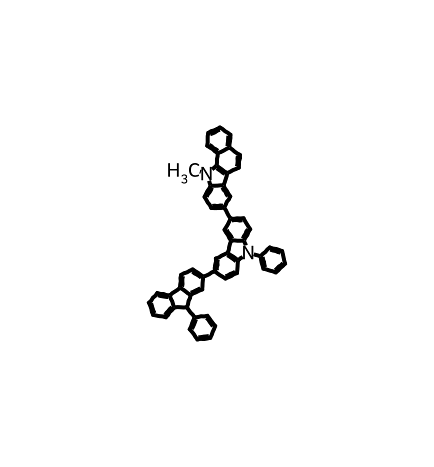 Cn1c2ccc(-c3ccc4c(c3)c3cc(-c5ccc6c(c5)C(c5ccccc5)c5ccccc5-6)ccc3n4-c3ccccc3)cc2c2ccc3ccccc3c21